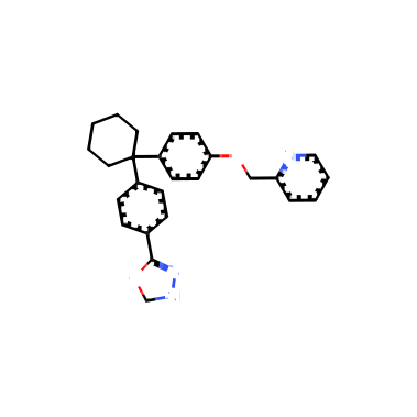 c1ccc(COc2ccc(C3(c4ccc(C5=NNCO5)cc4)CCCCC3)cc2)nc1